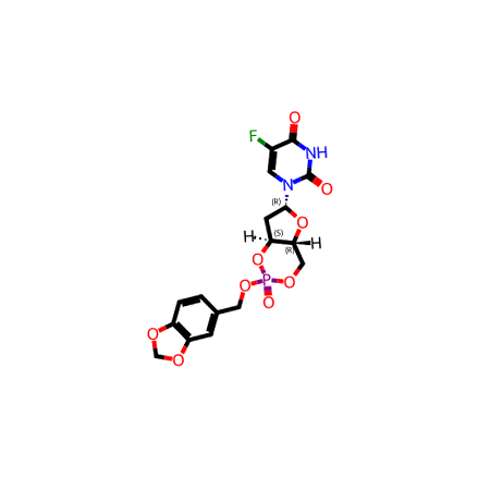 O=c1[nH]c(=O)n([C@H]2C[C@@H]3OP(=O)(OCc4ccc5c(c4)OCO5)OC[C@H]3O2)cc1F